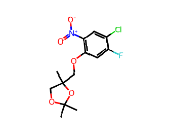 CC1(COc2cc(F)c(Cl)cc2[N+](=O)[O-])COC(C)(C)O1